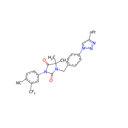 CCCc1cn(-c2ccc(CN3C(=O)N(c4ccc(C#N)c(C(F)(F)F)c4)C(=O)C3(C)C)cc2)nn1